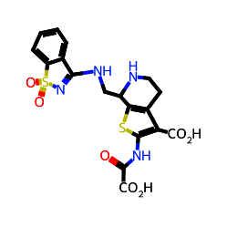 O=C(O)C(=O)Nc1sc2c(c1C(=O)O)CCNC2CNC1=NS(=O)(=O)c2ccccc21